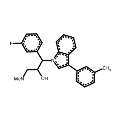 CNCC(O)C(c1cccc(F)c1)n1cc(-c2cccc(C)c2)c2ccccc21